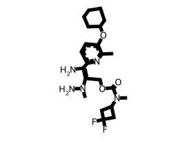 Cc1nc(/C(N)=C(\COC(=O)N(C)C2CC(F)(F)C2)N(C)N)ccc1OC1CCCCC1